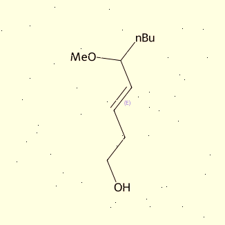 CCCCC(/C=C/CCO)OC